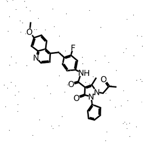 COc1ccc2c(Cc3ccc(NC(=O)c4c(C)n(CC(C)=O)n(-c5ccccc5)c4=O)cc3F)ccnc2c1